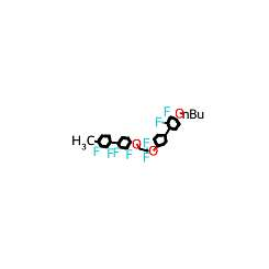 CCCCOc1ccc(-c2ccc(OC(F)(F)COc3ccc(-c4ccc(C)c(F)c4F)c(F)c3F)cc2)c(F)c1F